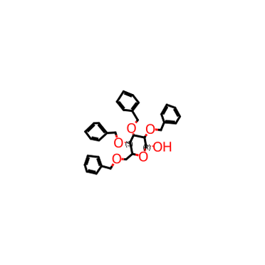 O[C@@H]1OC(COCc2ccccc2)[C@H](OCc2ccccc2)C(OCc2ccccc2)C1OCc1ccccc1